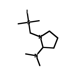 CN(C)C1CCCN1CS(C)(C)I